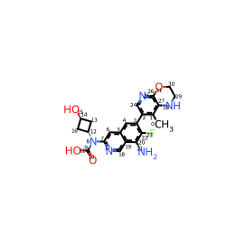 Cc1c(-c2cc3cc(N(C(=O)O)[C@H]4C[C@H](O)C4)ncc3c(N)c2F)cnc2c1NCCO2